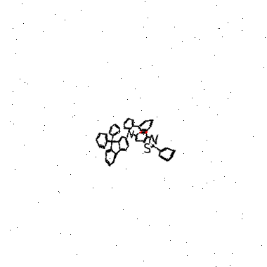 c1ccc(-c2nc3ccc(N(c4ccc5c(c4)C(c4ccccc4)(c4ccccc4)c4ccccc4-5)c4ccccc4-c4ccccc4)cc3s2)cc1